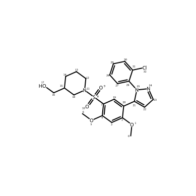 COc1cc(OC)c(S(=O)(=O)N2CCCC(CO)C2)cc1-c1ccnn1-c1ccccc1Cl